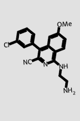 COc1ccc2c(NCCN)nc(C#N)c(-c3cccc(Cl)c3)c2c1